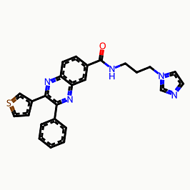 O=C(NCCCn1ccnc1)c1ccc2nc(-c3ccsc3)c(-c3ccccc3)nc2c1